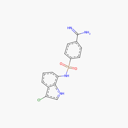 N=C(N)c1ccc(S(=O)(=O)Nc2cccc3c(Cl)c[nH]c23)cc1